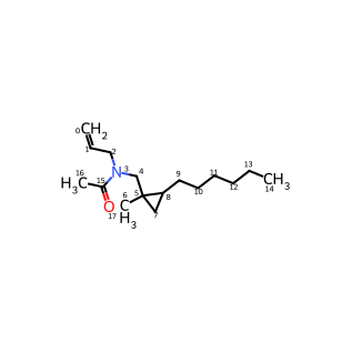 C=CCN(CC1(C)CC1CCCCCC)C(C)=O